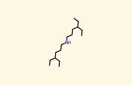 CCC(CC)CCCNCCCC(CC)CC